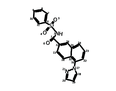 O=C(NS(=O)(=O)c1ccccc1)c1ccc2c(-n3cccn3)cccc2c1